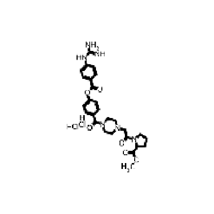 COC(=O)C1CCCN1C(=O)CN1CCN(C(=O)c2ccc(OC(=O)c3ccc(NC(=N)N)cc3)cc2)CC1.Cl.Cl